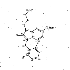 COc1ccc2c(c1)n(CCCC(C)C)c(C)[n+]2Cc1c(C)cccc1F